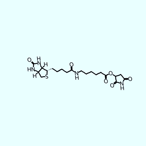 O=C(CCCC[C@@H]1SC[C@@H]2NC(=O)N[C@@H]21)NCCCCCC(=O)OC1CC(=O)NC1=O